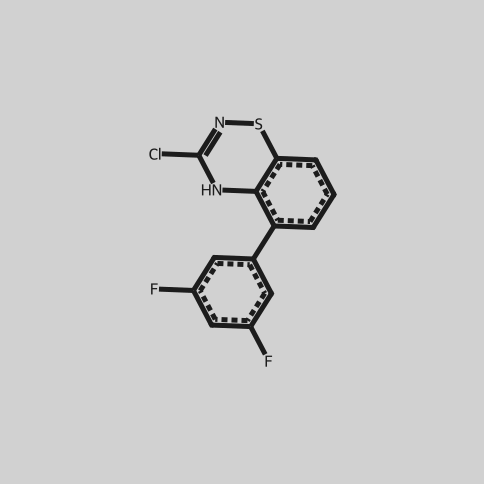 Fc1cc(F)cc(-c2cccc3c2NC(Cl)=NS3)c1